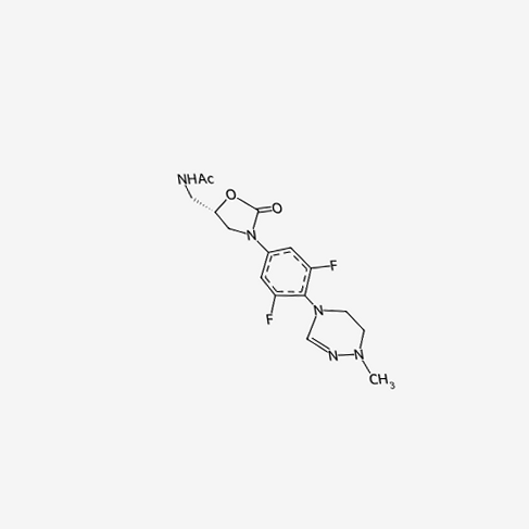 CC(=O)NC[C@H]1CN(c2cc(F)c(N3C=NN(C)CC3)c(F)c2)C(=O)O1